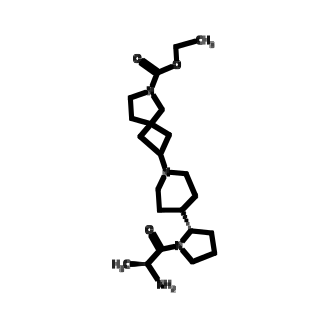 CCOC(=O)N1CCC2(CC(N3CCC([C@@H]4CCCN4C(=O)[C@H](C)N)CC3)C2)C1